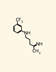 CC(=N)CCCNc1cccc(C(F)(F)F)c1